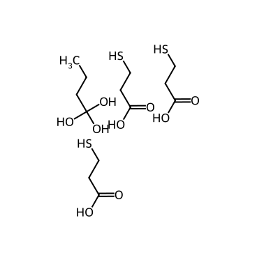 CCCC(O)(O)O.O=C(O)CCS.O=C(O)CCS.O=C(O)CCS